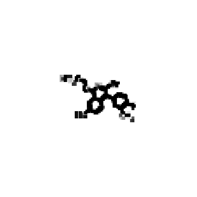 Cc1cc(-c2c(C(C)C)nc(OCC(=O)O)c3cc(O)ccc23)ccc1F